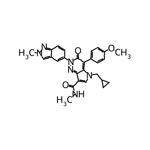 CNC(=O)c1cn(CC2CC2)c2c(-c3ccc(OC)cc3)c(=O)n(-c3ccc4nn(C)cc4c3)nc12